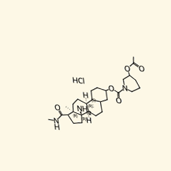 CNC(=O)C1CC[C@@]2(N)[C@@H]3CCC4CC(OC(=O)N5CCCC(OC(C)=O)C5)CC[C@]4(C)[C@@H]3CC[C@]12C.Cl